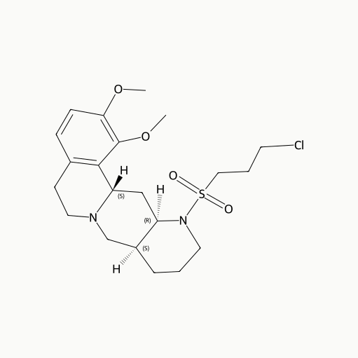 COc1ccc2c(c1OC)[C@@H]1C[C@@H]3[C@@H](CCCN3S(=O)(=O)CCCCl)CN1CC2